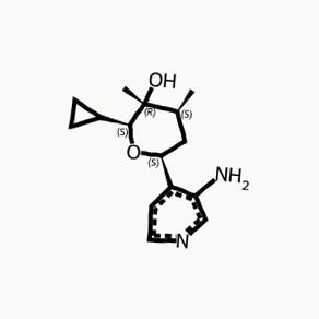 C[C@H]1C[C@@H](c2ccncc2N)O[C@@H](C2CC2)[C@]1(C)O